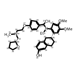 CCN(c1cc(OC)c(OC)cc1[C@@H]1CCc2cc(O)ccc2C1)C(C)c1ccc(OCCN(C)C[C@H]2CCCO2)cc1